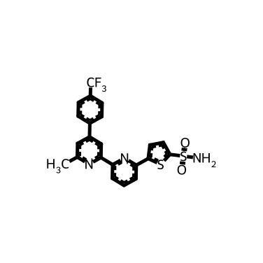 Cc1cc(-c2ccc(C(F)(F)F)cc2)cc(-c2cccc(-c3ccc(S(N)(=O)=O)s3)n2)n1